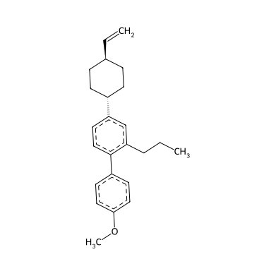 C=C[C@H]1CC[C@H](c2ccc(-c3ccc(OC)cc3)c(CCC)c2)CC1